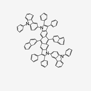 c1ccc(-c2c(-c3ccccc3)n(-c3ccc4c(c3)c3ccccc3n4-c3ccccc3)c3cc4c(-c5ccc6ccccc6c5)c5cc6c(-c7ccccc7)c(-c7ccccc7)n(-c7ccc8c(c7)c7ccccc7n8-c7ccccc7)c6cc5c(-c5ccc6ccccc6c5)c4cc23)cc1